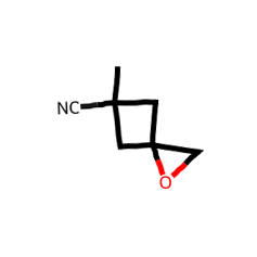 CC1(C#N)CC2(CO2)C1